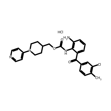 Cc1ccc(C(=O)c2cccc(N)c2NC(=O)OCC2CCN(c3ccncc3)CC2)cc1Cl.Cl